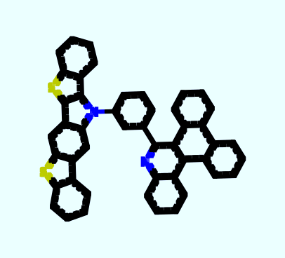 c1cc(-c2nc3ccccc3c3c4ccccc4c4ccccc4c23)cc(-n2c3cc4c(cc3c3sc5ccccc5c32)sc2ccccc24)c1